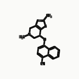 Cc1cc2c(s1)C(Oc1ccc(C#N)c3ccccc13)CN(C)C2